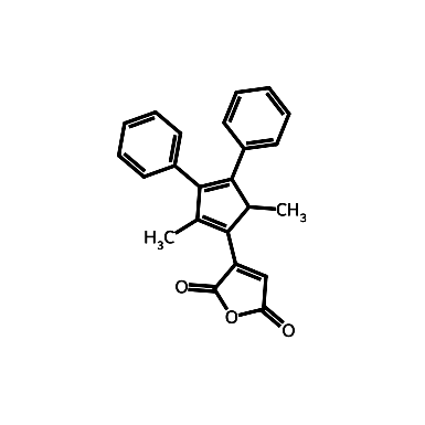 CC1=C(C2=CC(=O)OC2=O)C(C)C(c2ccccc2)=C1c1ccccc1